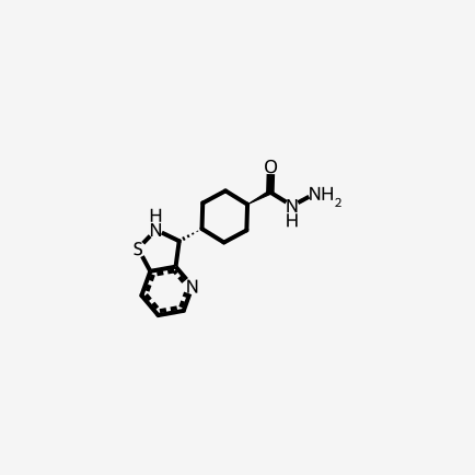 NNC(=O)[C@H]1CC[C@H](C2NSc3cccnc32)CC1